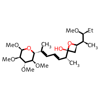 CC[C@H](OC)[C@@H](C)[C@H]1C[C@](O)([C@H](C)/C=C/C=C(\C)[C@H]2O[C@H](OC)[C@H](OC)[C@@H](OC)[C@@H]2OC)O1